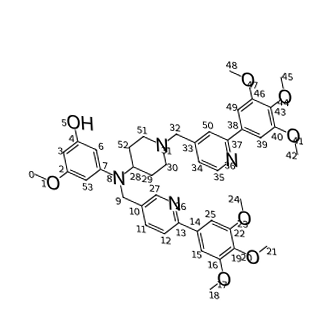 COc1cc(O)cc(N(Cc2ccc(-c3cc(OC)c(OC)c(OC)c3)nc2)C2CCN(Cc3ccnc(-c4cc(OC)c(OC)c(OC)c4)c3)CC2)c1